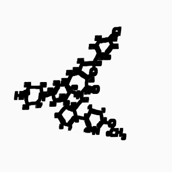 COc1ccc(-c2ccccc2CN2C(=O)c3oc(-c4ccc(Cl)cc4)cc3Cc3cc(N4CCNCC4)ccc32)cn1